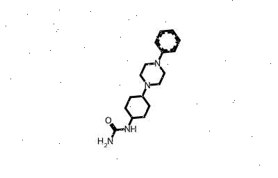 NC(=O)NC1CCC(N2CCN(c3ccccc3)CC2)CC1